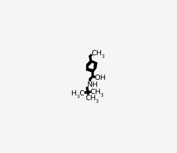 CCc1ccc(C(O)CNCC(C)(C)C)cc1